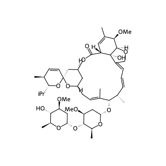 CO[C@H]1C[C@H](O[C@H]2[C@H](C)O[C@@H](O[C@@H]3/C(C)=C/C[C@@H]4C[C@@H](C[C@]5(C=C[C@H](C)[C@@H](C(C)C)O5)O4)OC(=O)[C@@H]4C=C(C)[C@@H](OC)[C@H]5OC/C(=C\C=C\[C@@H]3C)[C@]54O)C[C@@H]2OC)O[C@@H](C)[C@@H]1O